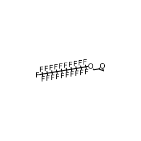 FC(F)(F)C(F)(F)C(F)(F)C(F)(F)C(F)(F)C(F)(F)C(F)(F)C(F)(F)C(F)(F)C(F)(F)OCC1CO1